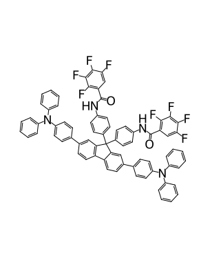 O=C(Nc1ccc(C2(c3ccc(NC(=O)c4cc(F)c(F)c(F)c4F)cc3)c3cc(-c4ccc(N(c5ccccc5)c5ccccc5)cc4)ccc3-c3ccc(-c4ccc(N(c5ccccc5)c5ccccc5)cc4)cc32)cc1)c1cc(F)c(F)c(F)c1F